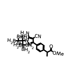 BC(B)(B)C(B)(n1nc(-c2ccc(C(C)C(=O)OC)cc2)c(C#N)c1N)C(B)(B)B